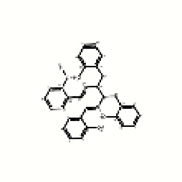 Oc1ccccc1/C=N/C(Cc1ccccc1O)C(Cc1cc#ccc1O)/N=C/c1ccccc1OF